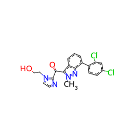 Cn1nc2c(-c3ccc(Cl)cc3Cl)cccc2c1C(=O)c1nccn1CCO